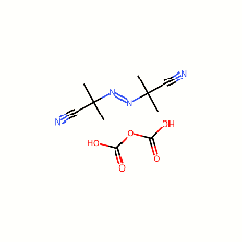 CC(C)(C#N)N=NC(C)(C)C#N.O=C(O)OC(=O)O